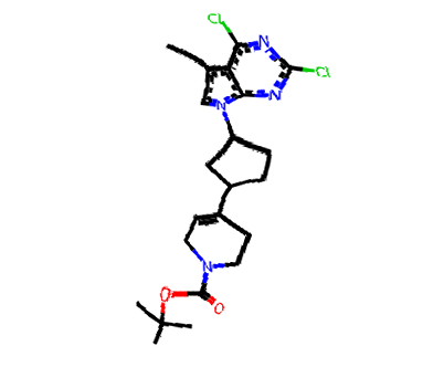 Cc1cn(C2CCC(C3=CCN(C(=O)OC(C)(C)C)CC3)C2)c2nc(Cl)nc(Cl)c12